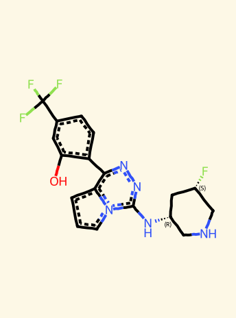 Oc1cc(C(F)(F)F)ccc1-c1nnc(N[C@H]2CNC[C@@H](F)C2)n2cccc12